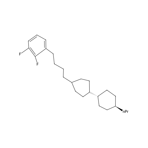 CCC[C@H]1CC[C@H](C2CCC(CCCCc3cccc(F)c3F)CC2)CC1